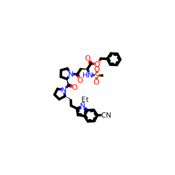 CCn1c(CC[C@@H]2CCCN2C(=O)[C@H]2CCCN2C(=O)C[C@H](NS(C)(=O)=O)C(=O)OCc2ccccc2)cc2ccc(C#N)cc21